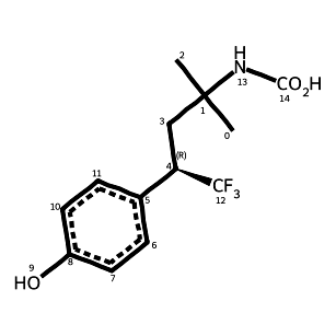 CC(C)(C[C@H](c1ccc(O)cc1)C(F)(F)F)NC(=O)O